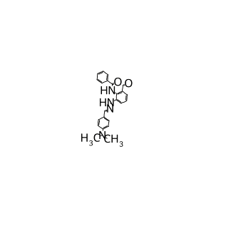 CN(C)c1ccc(C=NNc2cccc(C=O)c2NC(=O)c2ccccc2)cc1